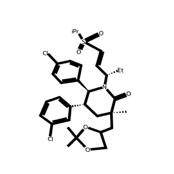 CC[C@@H](C=CS(=O)(=O)C(C)C)N1C(=O)[C@@](C)(CC2COC(C)(C)O2)C[C@H](c2cccc(Cl)c2)[C@H]1c1ccc(Cl)cc1